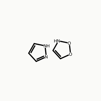 C1=COON1.c1cn[nH]c1